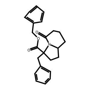 O=C1CCCC2CCC(Cc3ccccc3)(C(=O)OCc3ccccc3)N12